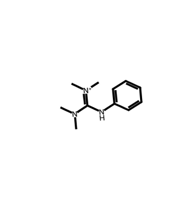 CN(C)C(Nc1ccccc1)=[N+](C)C